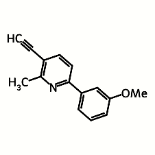 C#Cc1ccc(-c2cccc(OC)c2)nc1C